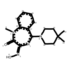 Cn1c(=O)c(=NO)nc(N2CCC(C)(C)CC2)c2ccccc21